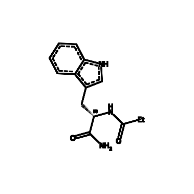 CCC(=O)N[C@@H](Cc1c[nH]c2ccccc12)C(N)=O